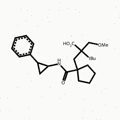 COCC(CC1(C(=O)NC2CC2c2ccccc2)CCCC1)(C(=O)O)C(C)(C)C